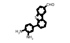 Nc1ccc(-c2cccc3c2sc2ccc(C=O)cc23)cc1N